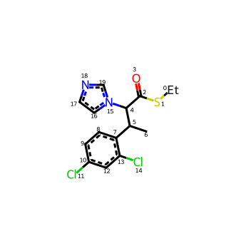 CCSC(=O)C(C(C)c1ccc(Cl)cc1Cl)n1ccnc1